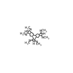 C/N=c1\[nH]/c(=N\C)c2cc3c(cc12)c1cc2/c(=N/C)[nH]/c(=N\C)c2cc1c1/c(=N/C)[nH]/c(=N\C)c31